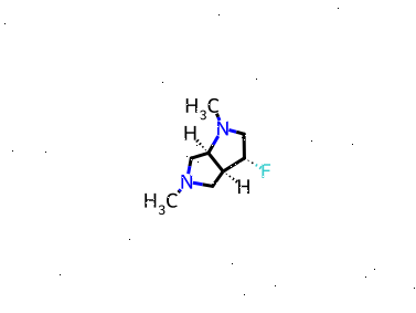 CN1C[C@H]2[C@@H](C1)N(C)C[C@@H]2F